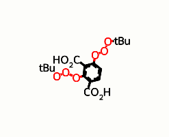 CC(C)(C)OOOc1ccc(C(=O)O)c(OOOC(C)(C)C)c1C(=O)O